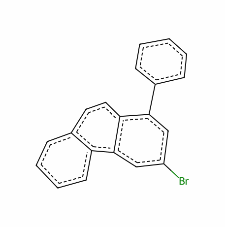 Brc1cc(-c2ccccc2)c2ccc3ccccc3c2c1